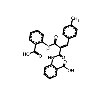 Cc1ccc(C=C(C(=O)Nc2ccccc2C(=O)O)C(=O)Nc2ccccc2C(=O)O)cc1